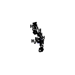 CC/C(Nc1cc(C2CCC(OC(=O)NC3(C)CC3)C2)[nH]n1)=c1\c(=C/N)c(COC2CCOC2)nn1C